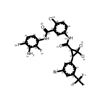 CC(F)(F)c1cc(Br)cc(C2C(C(=O)Nc3ccc(Cl)c(C(=O)Nc4ccc(F)c(N)c4F)c3)C2(Cl)Cl)c1